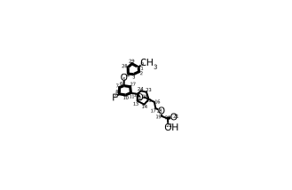 Cc1ccc(Oc2cc(F)cc(C34CCC(CCOCC(=O)O)(CC3)CO4)c2)cc1